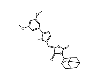 COc1cc(OC)cc(-c2ccc(C=C3SC(=S)N(C4C5CC6CC(C5)CC4C6)C3=O)[nH]2)c1